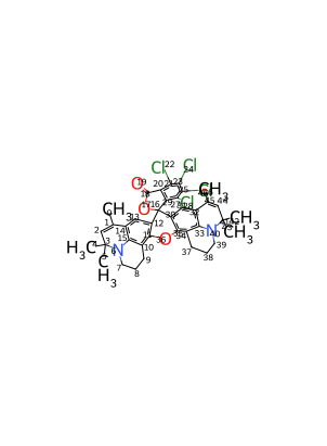 CC1=CC(C)(C)N2CCCc3c4c(cc1c32)C1(OC(=O)c2c(Cl)c(Cl)c(Cl)c(Cl)c21)c1cc2c3c(c1O4)CCCN3C(C)(C)C=C2C